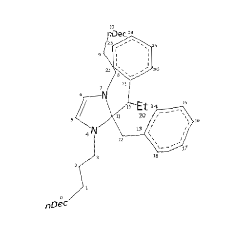 CCCCCCCCCCCCCN1C=CN(CCCCCCCCCCCC)C1(Cc1ccccc1)C(CC)c1ccccc1